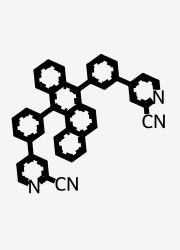 N#Cc1cc(-c2cccc(-c3c4ccccc4c(-c4cccc(-c5ccnc(C#N)c5)c4)c4c3ccc3ccccc34)c2)ccn1